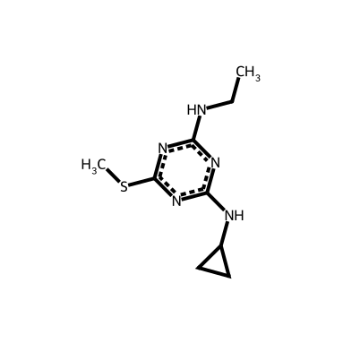 CCNc1nc(NC2CC2)nc(SC)n1